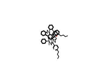 C=C(/C=C\C(=C/C)c1nc(-c2ccccc2)nc(-c2cccc(-c3ccccc3-n3c4ccccc4c4ccc5sc6c(CCCC)cccc6c5c43)c2)n1)CCCC